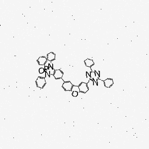 O=P1(c2ccccc2)N(c2ccccc2)c2ccc(-c3ccc4oc5ccc(-c6nc(-c7ccccc7)nc(-c7ccccc7)n6)cc5c4c3)cc2N1c1ccccc1